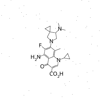 Cc1c(N2CC(N(C)C)C3(CC3)C2)c(F)c(N)c2c(=O)c(C(=O)O)cn(C3CC3)c12